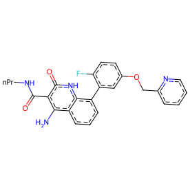 CCCNC(=O)c1c(N)c2cccc(-c3cc(OCc4ccccn4)ccc3F)c2[nH]c1=O